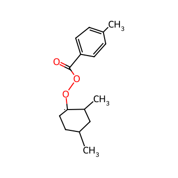 Cc1ccc(C(=O)OO[C]2CCC(C)CC2C)cc1